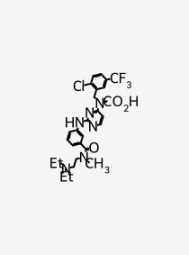 CCN(CC)CCN(C)C(=O)c1cccc(Nc2nccc(N(Cc3cc(C(F)(F)F)ccc3Cl)C(=O)O)n2)c1